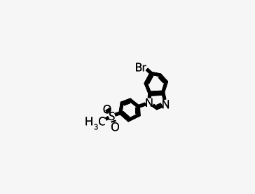 CS(=O)(=O)c1ccc(-n2cnc3ccc(Br)cc32)cc1